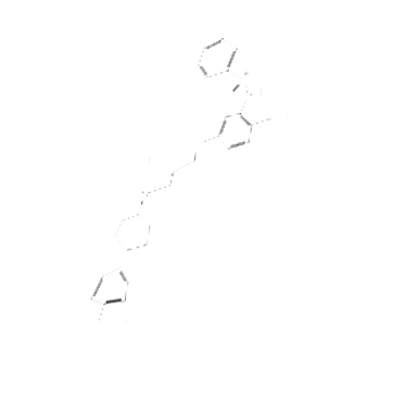 CCOC(=O)c1ccc([C@H]2CC[C@H](NC[C@H](O)COc3ccc(O)c(NS(=O)(=O)c4ccccc4)c3)CC2)cc1